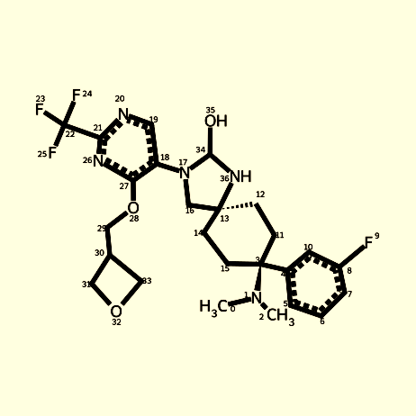 CN(C)[C@]1(c2cccc(F)c2)CC[C@]2(CC1)CN(c1cnc(C(F)(F)F)nc1OCC1COC1)C(O)N2